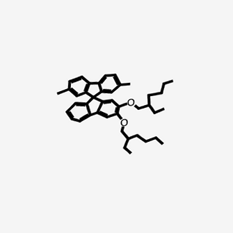 CCCCC(CC)COc1cc2c(cc1OCC(CC)CCCC)C1(c3ccccc3-2)c2cc(C)ccc2-c2ccc(C)cc21